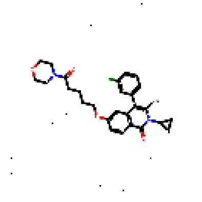 N#Cc1c(-c2cccc(F)c2)c2cc(OCCCCC(=O)N3CCOCC3)ccc2c(=O)n1C1CC1